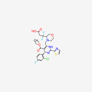 CCOC(=O)C1=C(CN2CCOCC2C(F)(F)CC(=O)O)NC(c2nccs2)=N[C@H]1c1ccc(F)cc1Cl